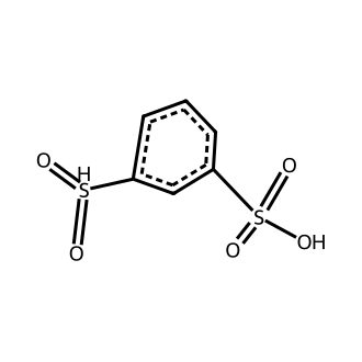 O=[SH](=O)c1cccc(S(=O)(=O)O)c1